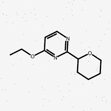 CCOc1ccnc(C2CCCCO2)n1